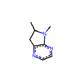 CC1Cc2nccnc2N1C